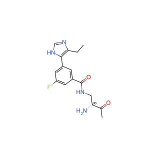 CCc1nc[nH]c1-c1cc(F)cc(C(=O)NC[C@@H](N)C(C)=O)c1